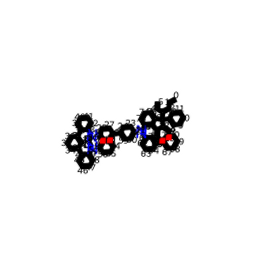 C=C/C=C(\C=C)C1(c2ccccc2)c2ccccc2-c2c(N(c3ccc(-c4ccc(N5B6c7c(cccc7-c7ccccc75)-c5ccccc5N6c5ccccc5)cc4)cc3)c3cccc(-c4ccccc4)c3)cccc21